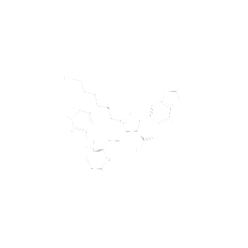 CCCCN(C(=O)CN1C[C@H](c2ccc3c(c2)OCO3)[C@@H](C(=O)O)[C@@H]1CCc1ncccn1)c1ccc[n+](C)c1